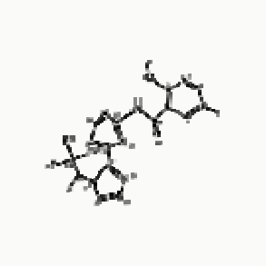 COc1ncc(C)cc1C(=O)Nc1cccc(-c2nncn2C(C)C(F)(F)F)n1